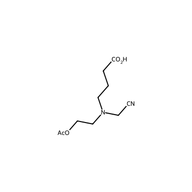 CC(=O)OCCN(CC#N)CCCC(=O)O